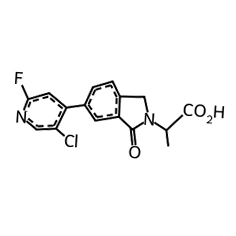 CC(C(=O)O)N1Cc2ccc(-c3cc(F)ncc3Cl)cc2C1=O